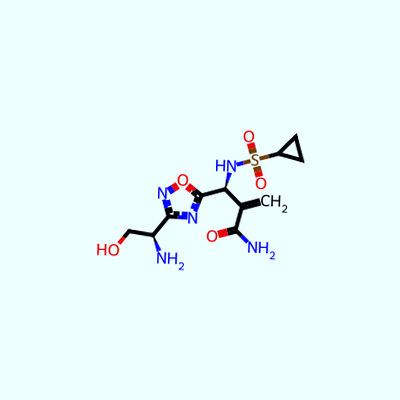 C=C(C(N)=O)[C@H](NS(=O)(=O)C1CC1)c1nc([C@@H](N)CO)no1